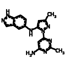 Cc1cc(Nc2ccc3[nH]ncc3c2)n(-c2cc(N)nc(C)n2)n1